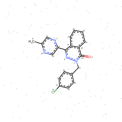 Cc1cnc(-c2nn(Cc3ccc(Cl)cc3)c(=O)c3ccccc23)cn1